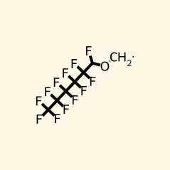 [CH2]OC(F)C(F)(F)C(F)(F)C(F)(F)C(F)(F)C(F)(F)F